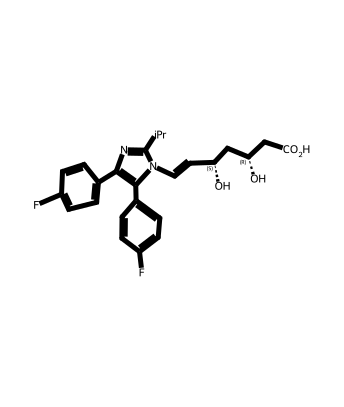 CC(C)c1nc(-c2ccc(F)cc2)c(-c2ccc(F)cc2)n1C=C[C@@H](O)C[C@@H](O)CC(=O)O